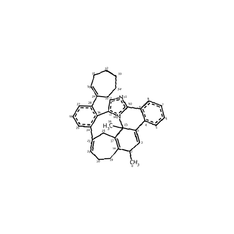 CC1C=C2c3ccccc3-c3ncc4n3C2(C)C2=C1CCC=C(C2)c1cccc(C2=CCCCCC2)c1-4